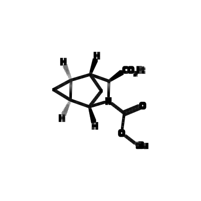 CCOC(=O)[C@@H]1[C@@H]2C[C@@H]([C@H]3C[C@@H]23)N1C(=O)OC(C)(C)C